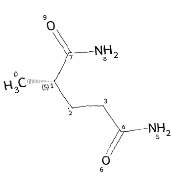 C[C@@H]([CH]CC(N)=O)C(N)=O